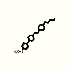 COc1ccc(C2CCC(CCC3CCC(CCC=CF)CC3)CC2)cc1